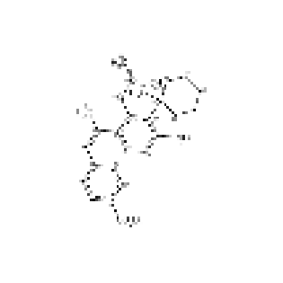 CCOC(=O)c1ccc(/C=C(/C)c2ccc(C(C)(C)C)c(C3(C)CCCCC3)c2O[SiH](C)C)cc1